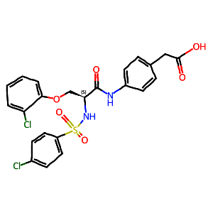 O=C(O)Cc1ccc(NC(=O)[C@H](COc2ccccc2Cl)NS(=O)(=O)c2ccc(Cl)cc2)cc1